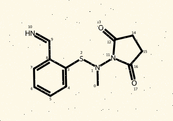 CN(Sc1ccccc1C=N)N1C(=O)CCC1=O